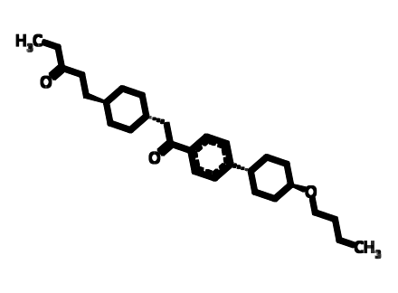 CCCCO[C@H]1CC[C@H](c2ccc(C(=O)C[C@H]3CC[C@H](CCC(=O)CC)CC3)cc2)CC1